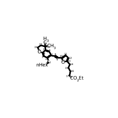 CCCCCCSc1cc2c(cc1C#Cc1ccc(CCCCC(=O)OCC)o1)C(C)(C)CCO2